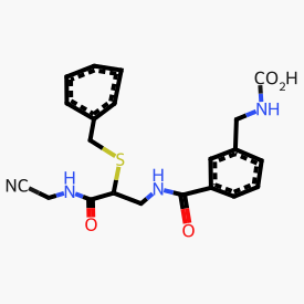 N#CCNC(=O)C(CNC(=O)c1cccc(CNC(=O)O)c1)SCc1ccccc1